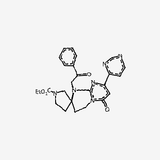 CCOC(=O)N1CCC2(CCn3c(nc(-c4ccncn4)cc3=O)N2CC(=O)c2ccccc2)C1